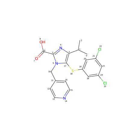 CC(C)c1nc(C(=O)O)n(Cc2ccncc2)c1Sc1cc(Cl)cc(Cl)c1